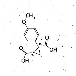 COc1ccc([C@@]2(C(=O)O)C[C@@H]2C(=O)O)cc1